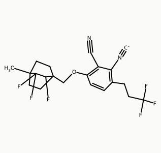 [C-]#[N+]c1c(CCC(F)(F)F)ccc(OCC23CCC(C)(CC2)C(F)(F)C3F)c1C#N